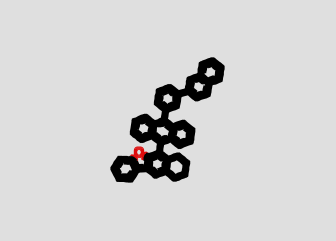 c1cc(-c2ccc3ccccc3c2)cc(-c2c3ccccc3c(-c3c4c(cc5c3oc3ccccc35)CCCC4)c3ccccc23)c1